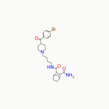 NC(=O)C1C2CCC(C2)C1C(=O)NCCCCN1CCC(C(=O)c2ccc(Br)cc2)CC1